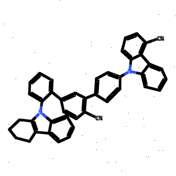 N#Cc1ccc(-c2ccccc2-n2c3c(c4ccccc42)CCCC3)cc1-c1ccc(-n2c3ccccc3c3c(C#N)cccc32)cc1